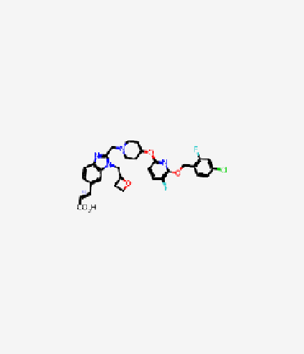 O=C(O)/C=C/c1ccc2nc(CN3CCC(Oc4ccc(F)c(OCc5ccc(Cl)cc5F)n4)CC3)n(CC3CCO3)c2c1